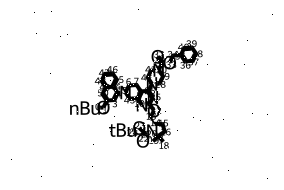 CCCCOc1cc(N2CCc3c(nc(OC[C@H]4CCC(C)(C)N4C(=O)OC(C)(C)C)nc3N3CCN(C(=O)OCc4ccccc4)CC3)C2)c2ccccc2c1